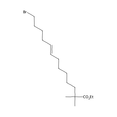 CCOC(=O)C(C)(C)CCCCC/C=C/CCCCBr